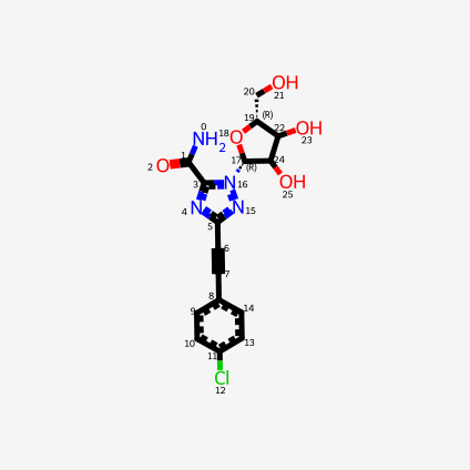 NC(=O)c1nc(C#Cc2ccc(Cl)cc2)nn1[C@@H]1O[C@H](CO)C(O)C1O